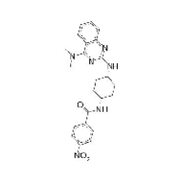 CN(C)c1nc(N[C@H]2CC[C@@H](NC(=O)c3ccc([N+](=O)[O-])cc3)CC2)nc2ccccc12